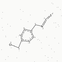 S=C=NCc1ccc(CCl)cc1